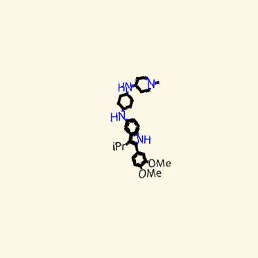 COc1ccc(-c2[nH]c3ccc(NC4CCC(NC5CCN(C)CC5)CC4)cc3c2C(C)C)cc1OC